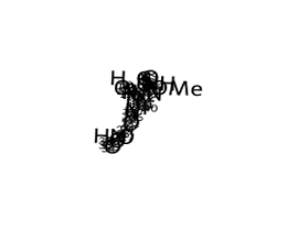 COc1ncc(-c2nc(N3CCOCC3)nc3c(CN4CCC(OCCCC(=O)NOC5CCCCO5)CC4)cc(F)cc23)cc1NS(C)(=O)=O